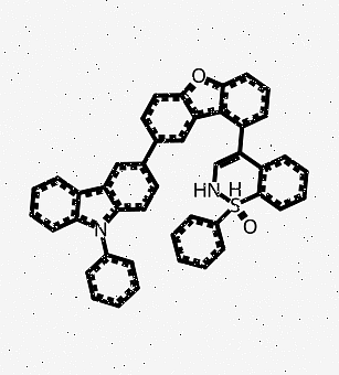 O=[SH]1(c2ccccc2)NC=C(c2cccc3oc4ccc(-c5ccc6c(c5)c5ccccc5n6-c5ccccc5)cc4c23)c2ccccc21